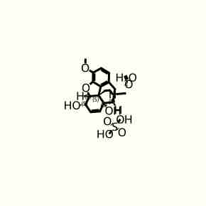 C=O.COc1ccc2c3c1O[C@H]1[C@@H](O)C=C[C@@]4(O)[C@@H](C2)N(C)CC[C@]314.O.O=S(=O)(O)O